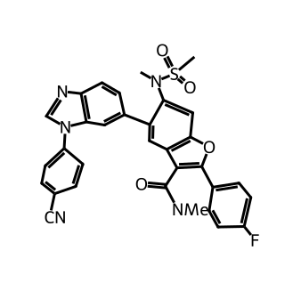 CNC(=O)c1c(-c2ccc(F)cc2)oc2cc(N(C)S(C)(=O)=O)c(-c3ccc4ncn(-c5ccc(C#N)cc5)c4c3)cc12